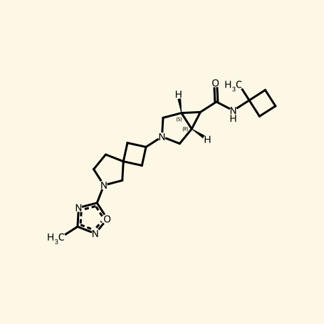 Cc1noc(N2CCC3(CC(N4C[C@@H]5C(C(=O)NC6(C)CCC6)[C@@H]5C4)C3)C2)n1